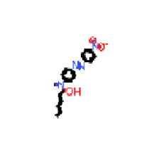 CCCCCC(O)N(C)c1ccc(/N=N/c2ccc([N+](=O)[O-])cc2)cc1